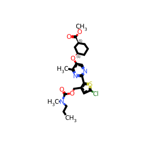 CCCN(C)C(=O)OCc1cc(Cl)sc1-c1ncc(O[C@H]2CCC[C@H](C(=O)OC)C2)c(C)n1